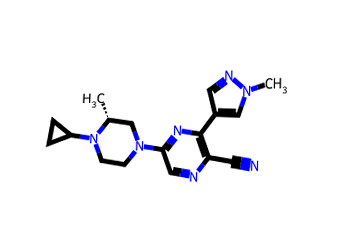 C[C@@H]1CN(c2cnc(C#N)c(-c3cnn(C)c3)n2)CCN1C1CC1